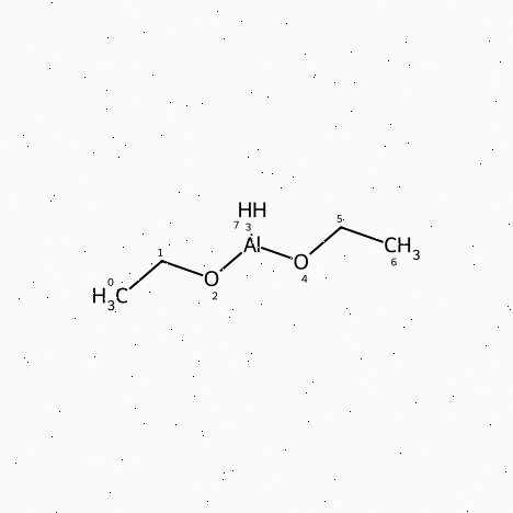 CC[O][Al][O]CC.[HH]